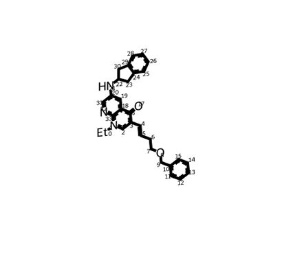 CCn1cc(/C=C/CCOCc2ccccc2)c(=O)c2cc(NC3Cc4ccccc4C3)cnc21